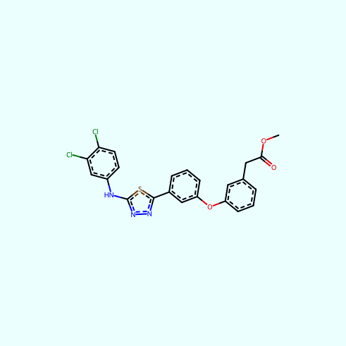 COC(=O)Cc1cccc(Oc2cccc(-c3nnc(Nc4ccc(Cl)c(Cl)c4)s3)c2)c1